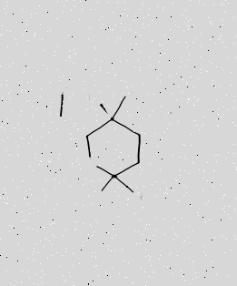 CCCCC1(O)O[C@H](CO)[C@](O)(Br)[C@H](O)[C@@H]1O